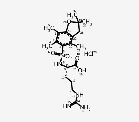 Cc1c(C)c(S(=O)(=O)N[C@@H](CCCNC(=N)N)C(=O)O)c(C)c2c1OC(C)(C)C2.Cl